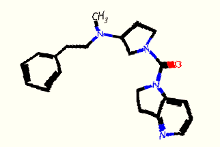 CN(CCc1ccccc1)C1CCN(C(=O)N2CCc3ncccc32)C1